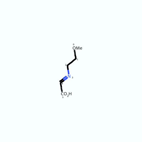 COCCN=CC(=O)O